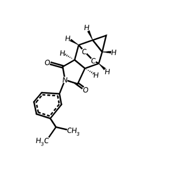 CC(C)c1cccc(N2C(=O)[C@@H]3[C@@H]4CC[C@@H]([C@@H]5C[C@@H]54)[C@@H]3C2=O)c1